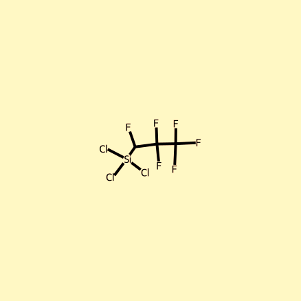 FC(C(F)(F)C(F)(F)F)[Si](Cl)(Cl)Cl